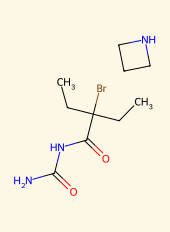 C1CNC1.CCC(Br)(CC)C(=O)NC(N)=O